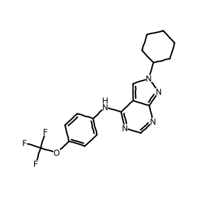 FC(F)(F)Oc1ccc(Nc2ncnc3nn(C4CCCCC4)cc23)cc1